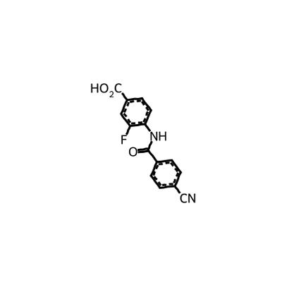 N#Cc1ccc(C(=O)Nc2ccc(C(=O)O)cc2F)cc1